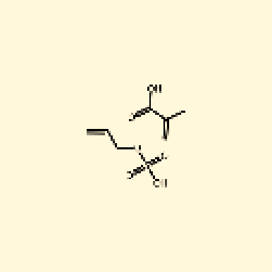 C=C(C)C(=O)O.C=CCOS(=O)(=O)O